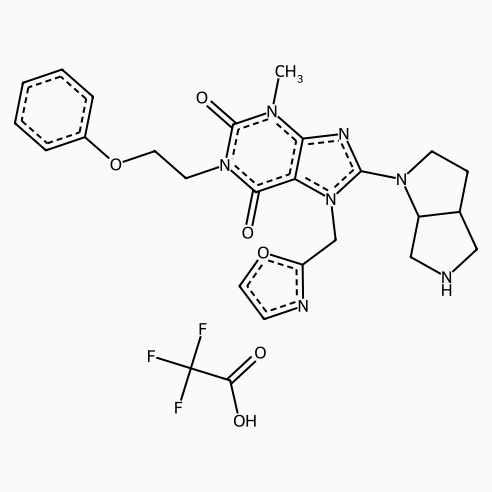 Cn1c(=O)n(CCOc2ccccc2)c(=O)c2c1nc(N1CCC3CNCC31)n2Cc1ncco1.O=C(O)C(F)(F)F